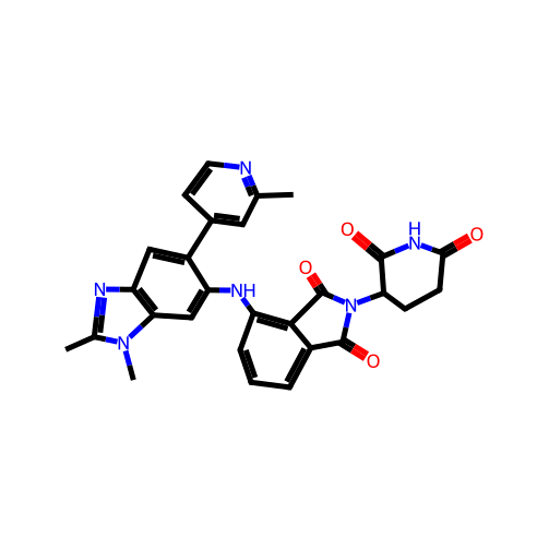 Cc1cc(-c2cc3nc(C)n(C)c3cc2Nc2cccc3c2C(=O)N(C2CCC(=O)NC2=O)C3=O)ccn1